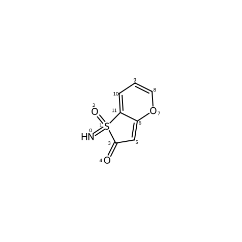 N=S1(=O)C(=O)C=C2OC=CC=C21